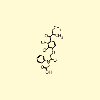 C=C(CC)C(=O)c1ccc(OCC(=O)N(CC(=O)O)c2ccccc2)c(Cl)c1Cl